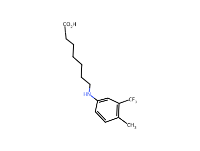 Cc1ccc(NCCCCCCC(=O)O)cc1C(F)(F)F